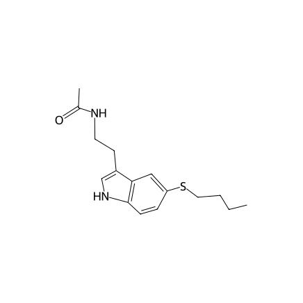 CCCCSc1ccc2[nH]cc(CCNC(C)=O)c2c1